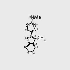 CNC1=NN=C(c2sc3ccccc3c2C)CS1